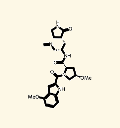 C=NC[C@H](C[C@@H]1CCNC1=O)NC(=O)[C@@H]1C[C@@H](OC)CN1C(=O)c1cc2c(OC)cccc2[nH]1